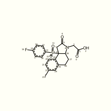 O=C(O)CN1C(=O)CC2(S(=O)(=O)c3ccc(F)cc3)c3ccc(I)cc3CCC12